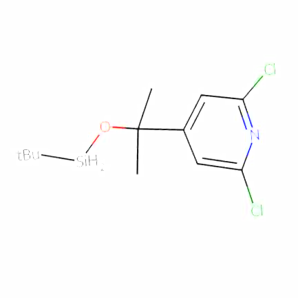 CC(C)(C)[SiH2]OC(C)(C)c1cc(Cl)nc(Cl)c1